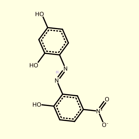 O=[N+]([O-])c1ccc(O)c(/N=N/c2ccc(O)cc2O)c1